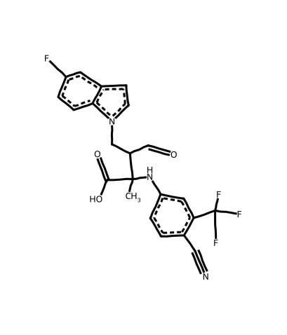 CC(Nc1ccc(C#N)c(C(F)(F)F)c1)(C(=O)O)C(C=O)Cn1ccc2cc(F)ccc21